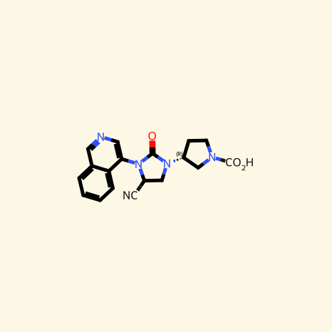 N#CC1CN([C@@H]2CCN(C(=O)O)C2)C(=O)N1c1cncc2ccccc12